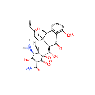 C=CC(=O)C[C@H]1[C@H]2C(=C(O)[C@]3(O)C(=O)C(C(N)=O)=C(O)[C@@H](N(C)C)[C@H]13)C(=O)c1c(O)cccc1[C@@H]2C